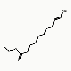 CCCC/C=C/CCCCCCCC(=O)OCI